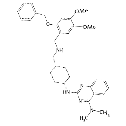 COc1cc(CNC[C@H]2CC[C@@H](Nc3nc(N(C)C)c4ccccc4n3)CC2)c(OCc2ccccc2)cc1OC